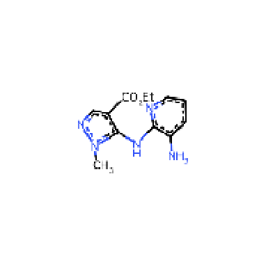 CCOC(=O)c1cnn(C)c1Nc1ncccc1N